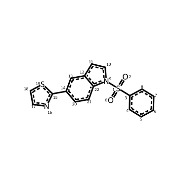 O=S(=O)(c1ccccc1)n1ccc2cc(-c3nccs3)ccc21